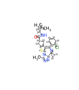 Cc1nnc2n1-c1sc3c(c1C(c1ccccc1Cl)=NC21CC1)C[C@H](C(=O)NC1CC1(C)C)C3